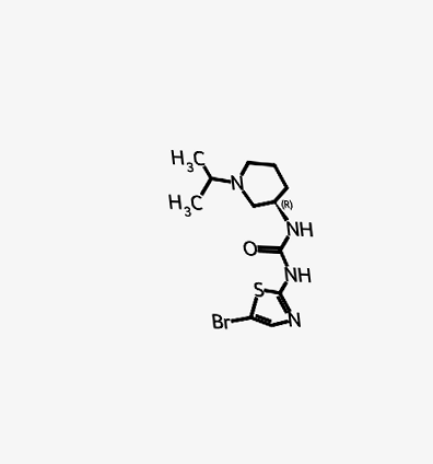 CC(C)N1CCC[C@@H](NC(=O)Nc2ncc(Br)s2)C1